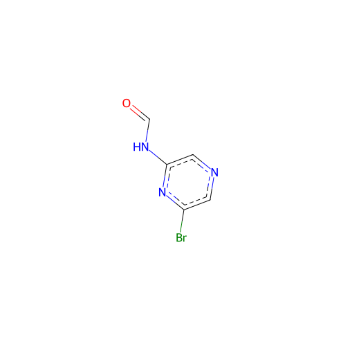 O=CNc1cncc(Br)n1